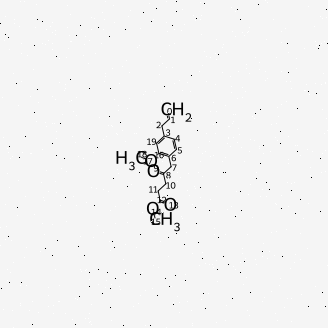 C=CCc1ccc(CC(=O)CCC(=O)OC)c(OC)c1